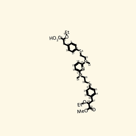 CCOC(Cc1ccc(SCCN(C)c2cccc(N(C)CCSc3ccc(CC(OCC)C(=O)OC)cc3)n2)cc1)C(=O)O